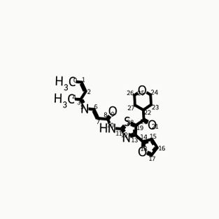 C\C=C/C(C)=N\C=C\C(=O)Nc1nc(-c2ccco2)c(C(=O)C2CCOCC2)s1